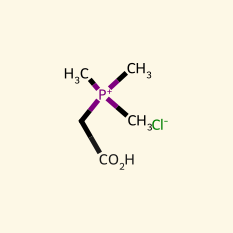 C[P+](C)(C)CC(=O)O.[Cl-]